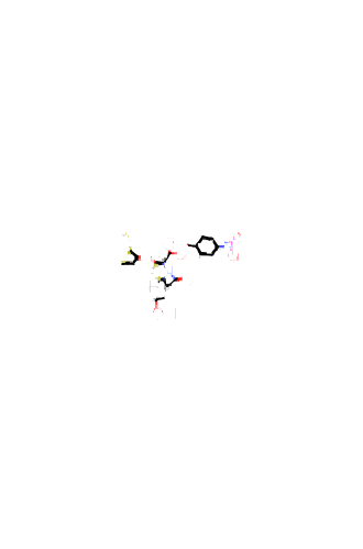 CSc1sccc1OC1=C(C(=O)OCc2ccc([N+](=O)[O-])cc2)N2C(=O)[C@H](CCO)[C@H]2S1